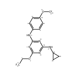 FC(F)(F)COc1nc(Nc2ccc(OC(F)(F)F)cc2)nc(NC2CC2)n1